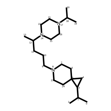 CC(C)C1CC12CCN(CCCC(C)N1CCN(C(C)C)CC1)CC2